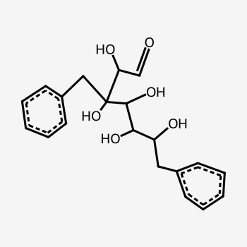 O=CC(O)C(O)(Cc1ccccc1)C(O)C(O)C(O)Cc1ccccc1